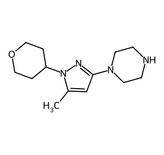 Cc1cc(N2CCNCC2)nn1C1CCOCC1